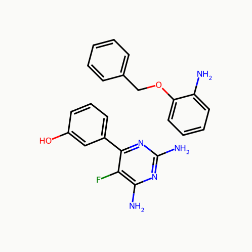 Nc1ccccc1OCc1ccccc1.Nc1nc(N)c(F)c(-c2cccc(O)c2)n1